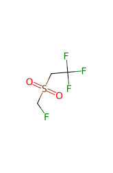 O=S(=O)(CF)CC(F)(F)F